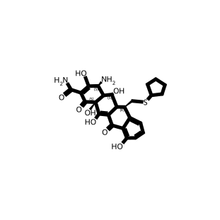 NC(=O)C1=C(O)[C@@H](N)C2[C@@H](O)C3C(=C(O)[C@]2(O)C1=O)C(=O)c1c(O)cccc1[C@@H]3CSC1CCCC1